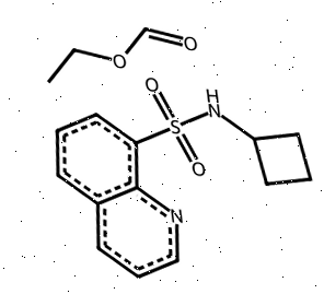 CCOC=O.O=S(=O)(NC1CCC1)c1cccc2cccnc12